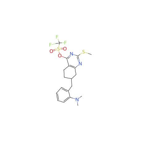 CSc1nc2c(c(OS(=O)(=O)C(F)(F)F)n1)CCC(Cc1ccccc1N(C)C)C2